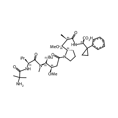 CC[C@H](C)[C@@H]([C@@H](CC(=O)N1CCC[C@H]1[C@H](OC)[C@@H](C)C(=O)N[C@@H](C(=O)O)C1(c2ccccc2)CC1)OC)N(C)C(=O)[C@@H](NC(=O)C(C)(C)N)C(C)C